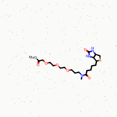 COC(=O)COCCOCCOCCCN(C)C(=O)CCCCC1SCC2NC(=O)NC21